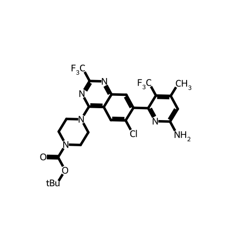 Cc1cc(N)nc(-c2cc3nc(C(F)(F)F)nc(N4CCN(C(=O)OC(C)(C)C)CC4)c3cc2Cl)c1C(F)(F)F